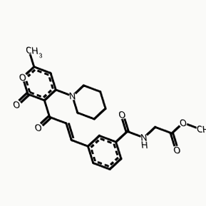 COC(=O)CNC(=O)c1cccc(C=CC(=O)c2c(N3CCCCC3)cc(C)oc2=O)c1